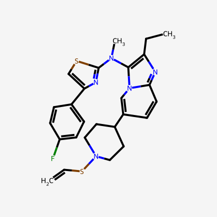 C=CSN1CCC(c2ccc3nc(CC)c(N(C)c4nc(-c5ccc(F)cc5)cs4)n3c2)CC1